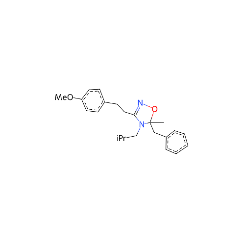 COc1ccc(CCC2=NOC(C)(Cc3ccccc3)N2CC(C)C)cc1